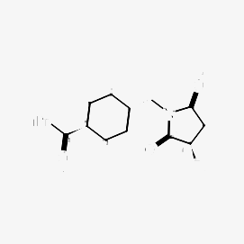 CC[C@@H]1CC(=O)N(C[C@H]2CC[C@H](C(=O)C(C)C)CC2)C1=O